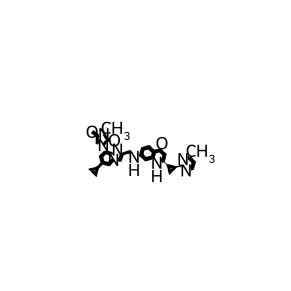 Cc1ccnc([C@H]2C[C@@H]2c2cc(=O)c3ccc(NCc4cn5cc(C6CC6)cc(N6CC(=O)N(C)C6=O)c5n4)cc3[nH]2)n1